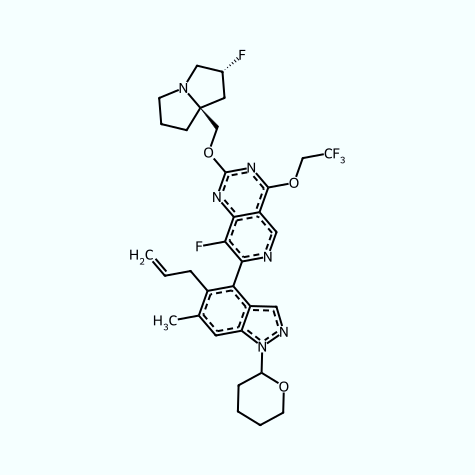 C=CCc1c(C)cc2c(cnn2C2CCCCO2)c1-c1ncc2c(OCC(F)(F)F)nc(OC[C@@]34CCCN3C[C@H](F)C4)nc2c1F